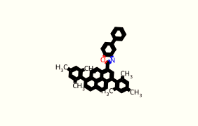 Cc1cc(C)c(-c2ccc3ccc4c(-c5c(C)cc(C)cc5C)cc(-c5nc6cc(-c7ccccc7)ccc6o5)c5ccc2c3c54)c(C)c1